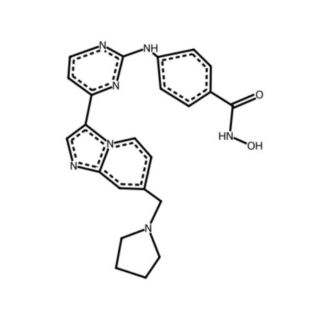 O=C(NO)c1ccc(Nc2nccc(-c3cnc4cc(CN5CCCC5)ccn34)n2)cc1